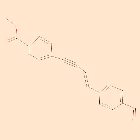 COC(=O)c1ccc(C#C/C=C/c2ccc(C=O)cc2)cc1